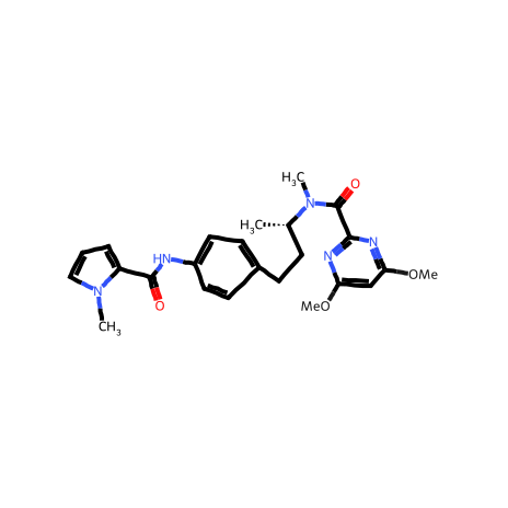 COc1cc(OC)nc(C(=O)N(C)[C@@H](C)CCc2ccc(NC(=O)c3cccn3C)cc2)n1